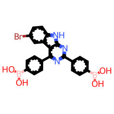 OB(O)c1ccc(-c2nc(-c3ccc(B(O)O)cc3)c3c(n2)[nH]c2ccc(Br)cc23)cc1